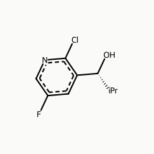 CC(C)[C@@H](O)c1cc(F)cnc1Cl